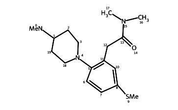 CNC1CCN(c2ccc(SC)cc2CC(=O)N(C)C)CC1